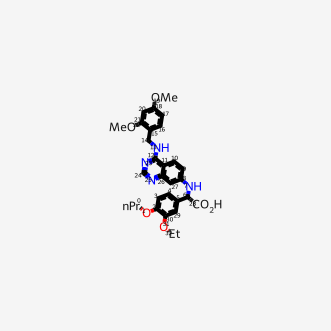 CCCOc1ccc(C(Nc2ccc3c(NCc4ccc(OC)cc4OC)ncnc3c2)C(=O)O)cc1OCC